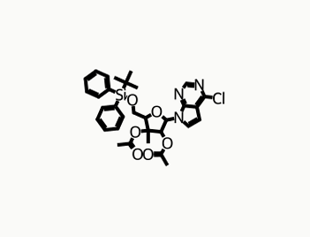 CC(=O)OC1C(n2ccc3c(Cl)ncnc32)OC(CO[Si](c2ccccc2)(c2ccccc2)C(C)(C)C)C1(C)OC(C)=O